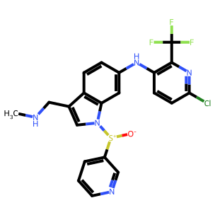 CNCc1cn([S+]([O-])c2cccnc2)c2cc(Nc3ccc(Cl)nc3C(F)(F)F)ccc12